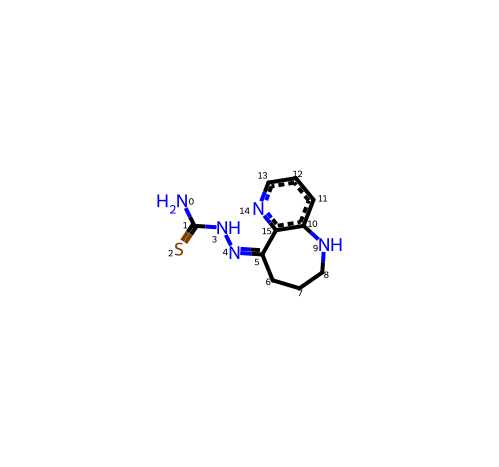 NC(=S)N/N=C1/CCCNc2cccnc21